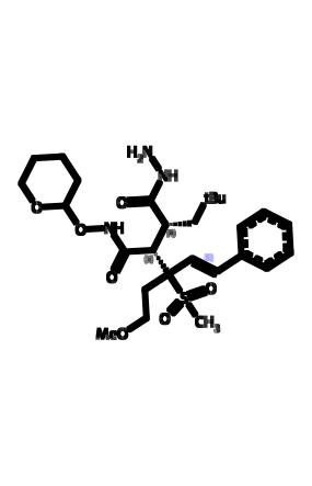 COCCC(/C=C/c1ccccc1)([C@H](C(=O)NOC1CCCCO1)[C@@H](CC(C)(C)C)C(=O)NN)S(C)(=O)=O